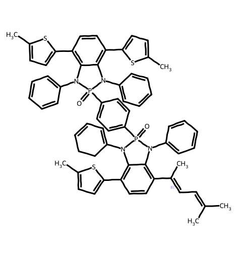 CC(C)=C/C=C(\C)c1ccc(-c2ccc(C)s2)c2c1N(c1ccccc1)P(=O)(c1ccc(P3(=O)N(c4ccccc4)c4c(-c5ccc(C)s5)ccc(-c5ccc(C)s5)c4N3c3ccccc3)cc1)N2C1=CC=CCC1